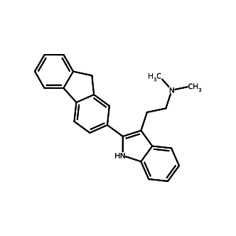 CN(C)CCc1c(-c2ccc3c(c2)Cc2ccccc2-3)[nH]c2ccccc12